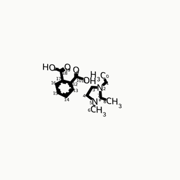 CCN1CC[N+](C)=C1C.O=C(O)c1ccccc1C(=O)O